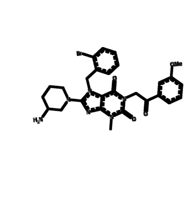 COc1cccc(C(=O)Cn2c(=O)c3c(nc(N4CCCC(N)C4)n3Cc3ccccc3Br)n(C)c2=O)c1